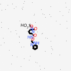 O=C(NOCc1nc2ccccc2[nH]1)[C@@H]1CCC2CN1C(=O)N2OS(=O)(=O)O